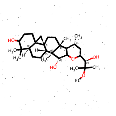 CCOC(C)(C)[C@H](O)C1C[C@@H](C)C2C(O1)[C@H](O)[C@@]1(C)[C@@H]3CC[C@H]4C(C)(C)C(O)CCC45C[C@@]35CC[C@]21C